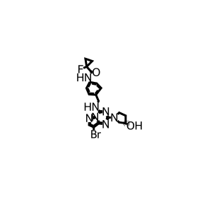 O=C(Nc1ccc(CNc2nc(N3CC[C@H](O)C3)nc3c(Br)cnn23)cc1)C1(F)CC1